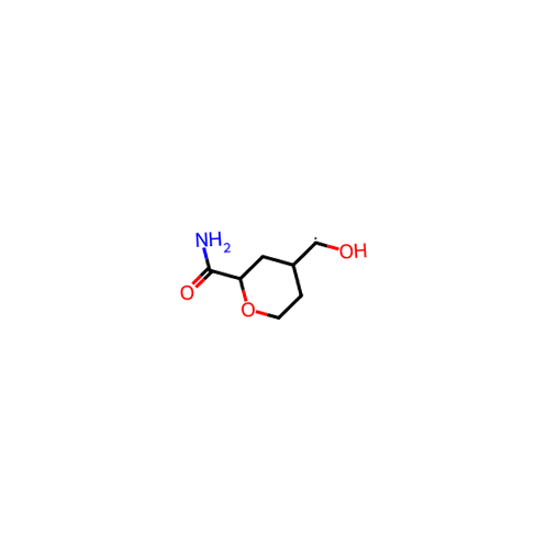 NC(=O)C1CC([CH]O)CCO1